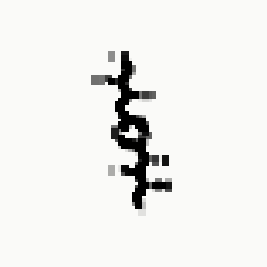 OC[C@@H](O)[C@@H](O)Cc1cnc([C@@H](O)[C@H](O)[C@H](O)CF)cn1